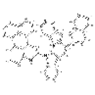 c1ccc2c(-c3nc(-n4c5ccccc5c5cc6c7ccc8ccccc8c7n7c8ccccc8c(c54)c67)nc4ccccc34)cccc2c1